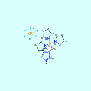 F[P-](F)(F)(F)(F)F.c1cn(O[P+](N2CCCC2)(N2CCCC2)N2CCCC2)nn1